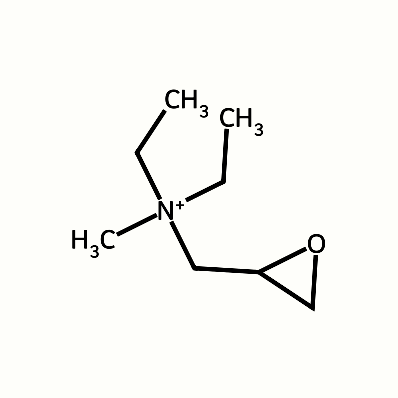 CC[N+](C)(CC)CC1CO1